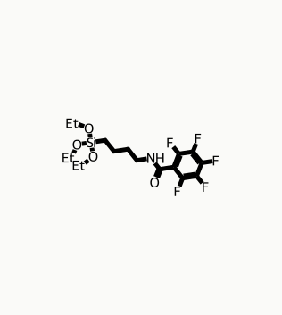 CCO[Si](CCCCNC(=O)c1c(F)c(F)c(F)c(F)c1F)(OCC)OCC